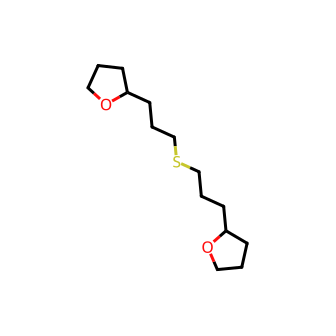 C1COC(CCCSCCCC2CCCO2)C1